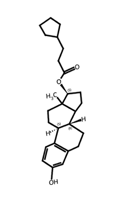 CC12CC[C@@H]3c4ccc(O)cc4CC[C@H]3C1CC[C@@H]2OC(=O)CCC1CCCC1